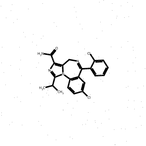 CC(C)c1nc(C(N)=O)c2n1-c1ccc(Cl)cc1C(c1ccccc1Cl)=NC2